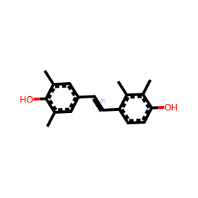 Cc1cc(/C=C/c2ccc(O)c(C)c2C)cc(C)c1O